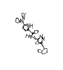 O=C(Nc1nnc(C2CCCO2)o1)c1ccc([N+](=O)[O-])[nH]1